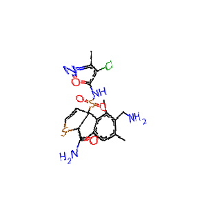 Cc1cc(C)c(C2(S(=O)(=O)Nc3onc(C)c3Cl)C=CSC2C(N)=O)c(C)c1CN